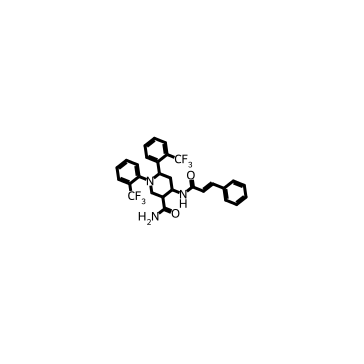 NC(=O)C1CN(c2ccccc2C(F)(F)F)C(c2ccccc2C(F)(F)F)CC1NC(=O)C=Cc1ccccc1